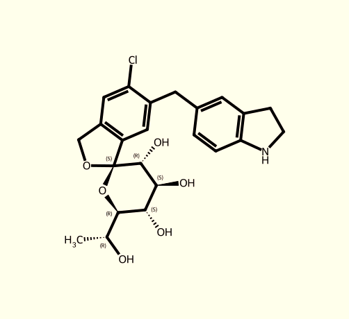 C[C@@H](O)[C@H]1O[C@]2(OCc3cc(Cl)c(Cc4ccc5c(c4)CCN5)cc32)[C@H](O)[C@@H](O)[C@@H]1O